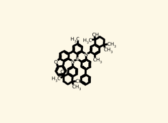 Cc1cc2c3c(c1)N(c1cc4c(cc1C)C(C)(C)CCC4(C)C)c1ccc(-c4ccccc4)cc1B3N(c1ccc3c(c1)C(C)(C)CCC3(C)C)c1c-2ccc2oc3ccccc3c12